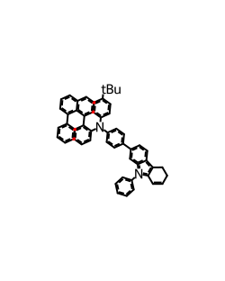 CC(C)(C)c1ccc(N(c2ccc(-c3ccc4c5c(n(-c6ccccc6)c4c3)C=CCC5)cc2)c2ccccc2-c2cccc3cccc(-c4ccccc4)c23)cc1